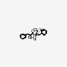 NC(Cc1ccccc1)C(=O)NN(Cc1ccccc1)C(=O)O